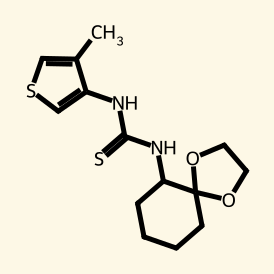 Cc1cscc1NC(=S)NC1CCCCC12OCCO2